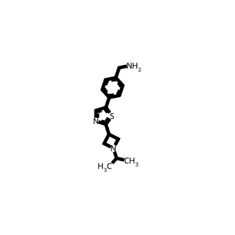 CC(C)N1CC(c2ncc(-c3ccc(CN)cc3)s2)C1